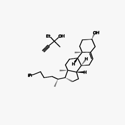 C#CC(C)(O)CC.CC(C)CCC[C@@H](C)[C@H]1CC[C@H]2[C@@H]3CC=C4C[C@@H](O)CC[C@]4(C)[C@H]3CC[C@]12C